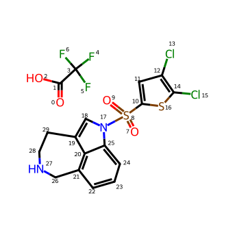 O=C(O)C(F)(F)F.O=S(=O)(c1cc(Cl)c(Cl)s1)n1cc2c3c(cccc31)CNCC2